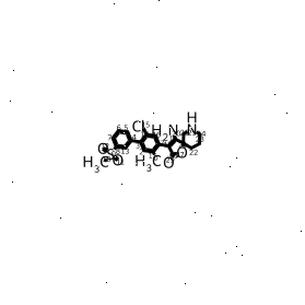 Cc1cc(-c2cccc(S(C)(=O)=O)c2)c(Cl)cc1C1=C(N)C2(CCCNC2)OC1=O